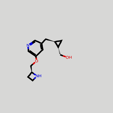 OC[C@H]1C[C@@H]1Cc1cncc(OC[C@@H]2CCN2)c1